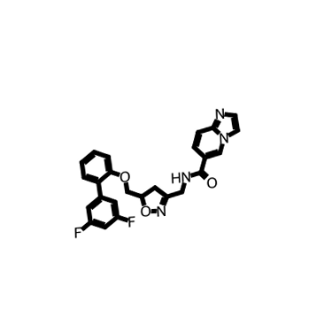 O=C(NCC1=NOC(COc2ccccc2-c2cc(F)cc(F)c2)C1)c1ccc2nccn2c1